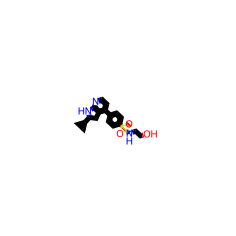 O=S(=O)(NCCO)c1ccc(-c2ccnc3c2CC(C2CC2)N3)cc1